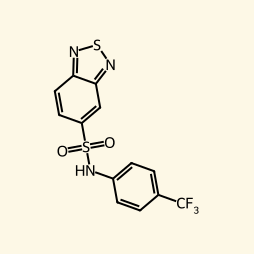 O=S(=O)(Nc1ccc(C(F)(F)F)cc1)c1ccc2nsnc2c1